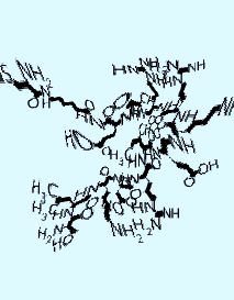 CC[C@H](C)[C@H](NC(=O)[C@H](CCCNC(=N)N)NC(=O)[C@H](CC(=O)O)NC(=O)[C@H](CCCCN)NC(=O)[C@H](CC(C)C)NC(=O)[C@@H](N)CO)C(=O)N[C@@H](CCC(=O)O)C(=O)N[C@@H](CCCCN)C(=O)N[C@@H](CCCNC(=N)N)C(=O)N[C@@H](CCCNC(=N)N)C(=O)N[C@@H](C)C(=O)N[C@@H](CCC(=O)O)C(=O)NC(=O)CCCCCNC(=O)[C@@H](N)CS